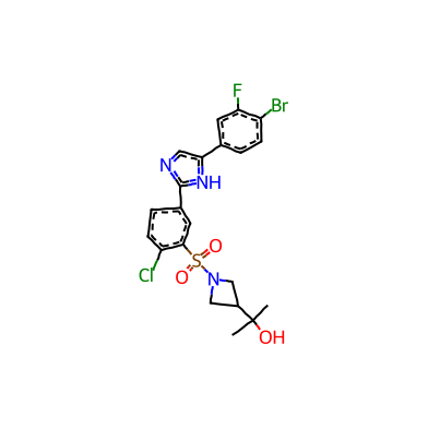 CC(C)(O)C1CN(S(=O)(=O)c2cc(-c3ncc(-c4ccc(Br)c(F)c4)[nH]3)ccc2Cl)C1